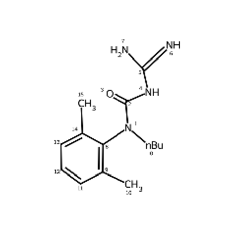 CCCCN(C(=O)NC(=N)N)c1c(C)cccc1C